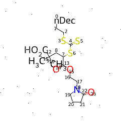 CCCCCCCCCCCCSC(=S)SC(CC(C)(C)C(=O)O)C(=O)OCCN1CCCC1=O